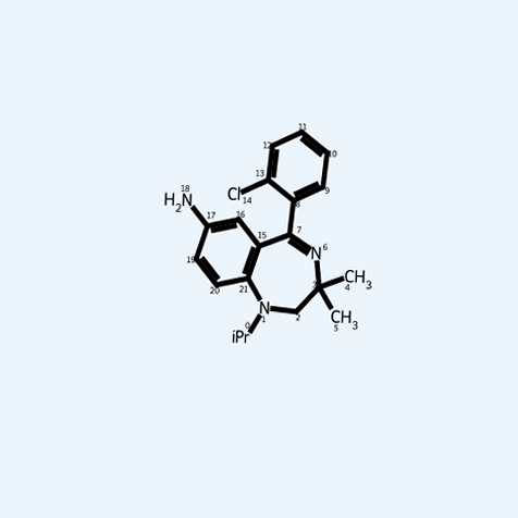 CC(C)N1CC(C)(C)N=C(c2ccccc2Cl)c2cc(N)ccc21